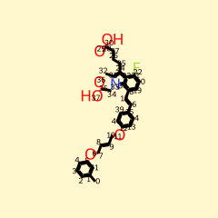 Cc1cccc(OC/C=C/COc2ccc(C=Cc3ccc(F)c4c(CCCC(=O)O)c(C)n(CC(=O)O)c34)cc2)c1